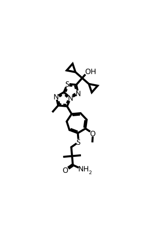 COC1=CC=C(c2c(C)nc3sc(C(O)(C4CC4)C4CC4)nn23)CC=C1SCC(C)(C)C(N)=O